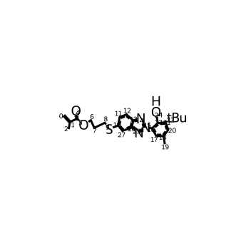 C=C(C)C(=O)OCCCSc1ccc2nn(-c3cc(C)cc(C(C)(C)C)c3O)nc2c1